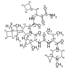 CC(C)[C@H](NC(=O)NC(C(=O)N1CC(C(C)(C)C2(C)CCC2)C[C@H]1C(=O)NC(CC1CCC1)C(=O)C(N)=O)C(C)(C)C)C(=O)N1CCN(C)C2(CC2)C1